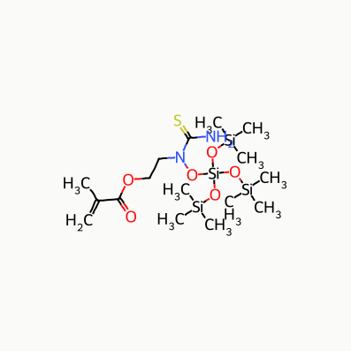 C=C(C)C(=O)OCCN(O[Si](O[Si](C)(C)C)(O[Si](C)(C)C)O[Si](C)(C)C)C(N)=S